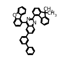 CC1(C)c2ccccc2-c2c(-c3nc(-c4cccc5oc6ccccc6c45)c4cc(-c5cccc(-c6ccccc6)c5)ccc4n3)cccc21